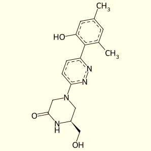 Cc1cc(C)c(-c2ccc(N3CC(=O)N[C@H](CO)C3)nn2)c(O)c1